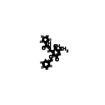 Cc1cc(=O)c(OCc2ccccc2)c(CNC(=O)C2CCCC2)n1C